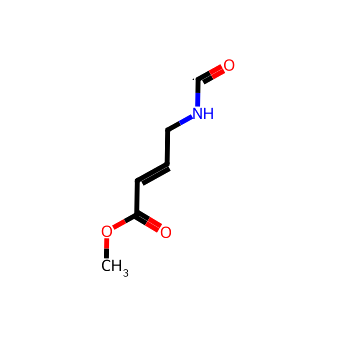 COC(=O)C=CCN[C]=O